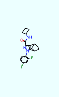 O=C(NC1CCC1)c1nn(-c2ccc(F)cc2F)c2c1C1CCC2C1